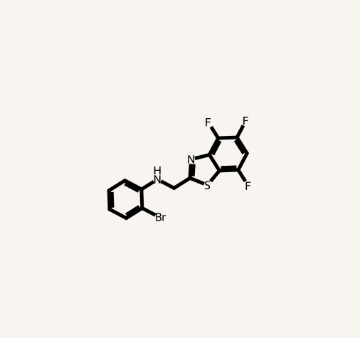 Fc1cc(F)c2sc(CNc3ccccc3Br)nc2c1F